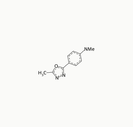 CNc1ccc(-c2nnc(C)o2)cc1